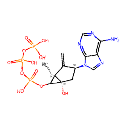 C=C1[C@@H](n2cnc3c(N)ncnc32)C[C@@]2(O)C(OP(=O)(O)OP(=O)(O)OP(=O)(O)O)[C@@]12C#N